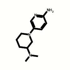 CN(C)C1CCCN(c2ccc(N)nc2)C1